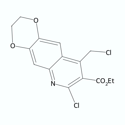 CCOC(=O)c1c(Cl)nc2cc3c(cc2c1CCl)OCCO3